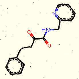 O=C(CCc1ccccc1)C(=O)NCc1ccccn1